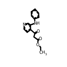 CCOC(=O)CC(=O)c1ccncc1Nc1ccccc1